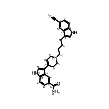 N#Cc1ccc2[nH]cc(CCCCN3CC=C(c4c[nH]c5ccc(C(N)=O)cc45)CC3)c2c1